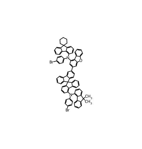 CC1(C)c2ccccc2-c2c(N(c3ccc(Br)cc3)c3cccc4c3-c3ccccc3C43c4ccccc4-c4cc(-c5cc(N(c6ccc(Br)cc6)c6cccc7c6-c6ccccc6C76CCCCC6)c6c(c5)oc5ccccc56)ccc43)cccc21